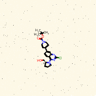 CC(C)(C)OC(=O)N1CC=C(c2ccc3c(N4CCC[C@H]4CO)nc(Cl)nc3c2)CC1